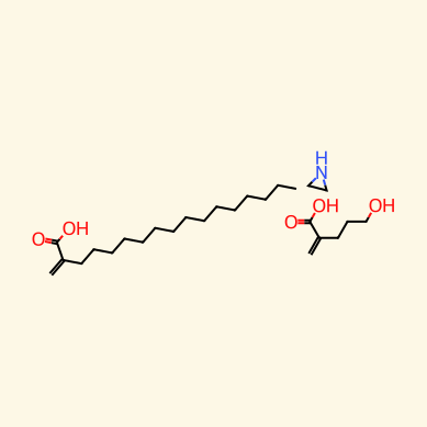 C1CN1.C=C(CCCCCCCCCCCCCCC)C(=O)O.C=C(CCCO)C(=O)O